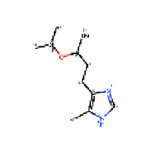 CC(C)c1[nH]cnc1CCC(O[SiH](C)C)C(C)(C)C